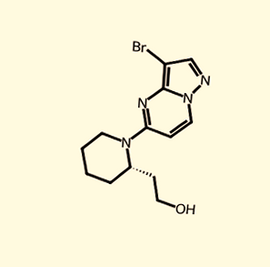 OCC[C@@H]1CCCCN1c1ccn2ncc(Br)c2n1